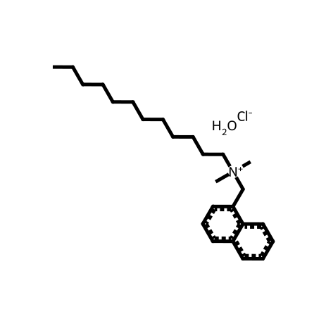 CCCCCCCCCCCC[N+](C)(C)Cc1cccc2ccccc12.O.[Cl-]